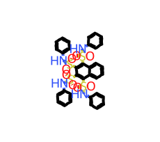 O=S(=O)(Nc1ccccc1)c1c(S(=O)(=O)Nc2ccccc2)c(S(=O)(=O)Nc2ccccc2)c2ccccc2c1S(=O)(=O)Nc1ccccc1